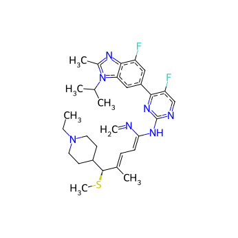 C=N/C(=C\C=C(/C)[C@@H](SC)C1CCN(CC)CC1)Nc1ncc(F)c(-c2cc(F)c3nc(C)n(C(C)C)c3c2)n1